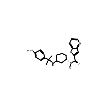 CCN(C(=O)c1cc2ncccc2[nH]1)[C@H]1CCCC(NC(C)(C)c2ccc(OC)cc2)C1